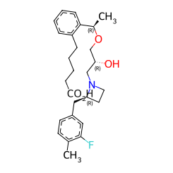 Cc1ccc(C[C@@H]2CCN2C[C@@H](O)CO[C@H](C)c2ccccc2CCCCC(=O)O)cc1F